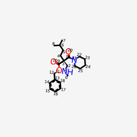 CNC[C@](CCC(C)C)(C(=O)OCc1ccccc1)C(=O)N1CCCCC1